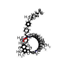 CO[C@H]1/C=C/O[C@@]2(C)Oc3c(C)c(O)c4c(c3C2=O)C(=O)C(N2CCN(C(=O)CN3CCN(c5ccc(OCC6(C)Cn7cc([N+](=O)[O-])nc7O6)cc5)CC3)CC2)=C(NC(=O)/C(C)=C\C=C\[C@H](C)[C@H](O)[C@@H](C)[C@@H](O)[C@@H](C)[C@H](OC(C)=O)[C@@H]1C)C4=O